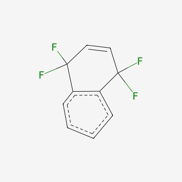 FC1(F)C=CC(F)(F)c2ccccc21